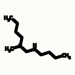 CCCCNCN(C)CCCC